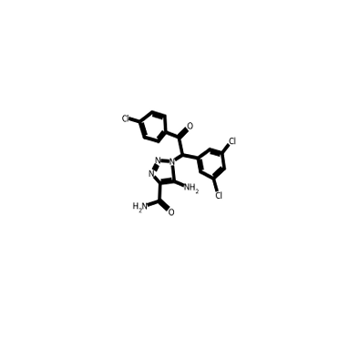 NC(=O)c1nnn(C(C(=O)c2ccc(Cl)cc2)c2cc(Cl)cc(Cl)c2)c1N